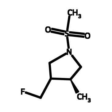 C[C@@H]1CN(S(C)(=O)=O)CC1CF